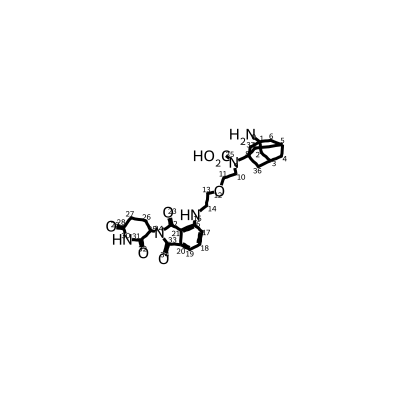 NC12CC3CC(C1)CC(N(CCOCCNc1cccc4c1C(=O)N(C1CCC(=O)NC1=O)C4=O)C(=O)O)(C3)C2